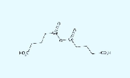 O=C(O)CC[CH2][Ge](=[O])[O][Ge](=[O])[CH2]CCC(=O)O